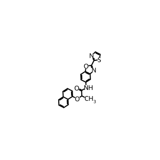 CC(Oc1cccc2ccccc12)C(=O)Nc1ccc2oc(-c3nccs3)nc2c1